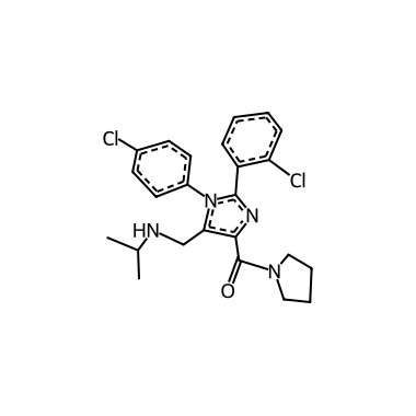 CC(C)NCc1c(C(=O)N2CCCC2)nc(-c2ccccc2Cl)n1-c1ccc(Cl)cc1